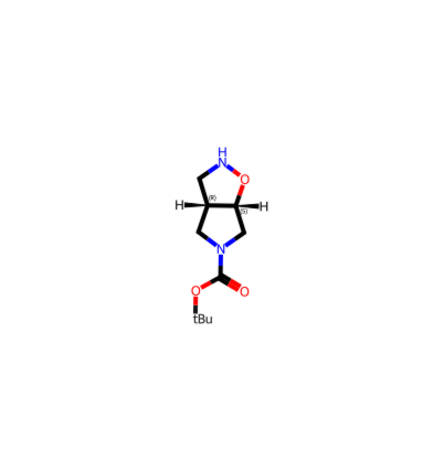 CC(C)(C)OC(=O)N1C[C@@H]2CNO[C@@H]2C1